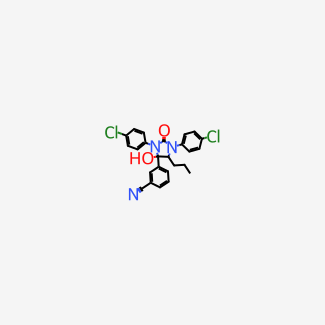 CCCC1N(c2ccc(Cl)cc2)C(=O)N(c2ccc(Cl)cc2)C1(O)c1cccc(C#N)c1